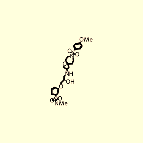 CNS(=O)(=O)c1cccc(OC[C@@H](O)CNC2COC3(CCN(S(=O)(=O)c4ccc(OC)cc4)CC3)C2)c1